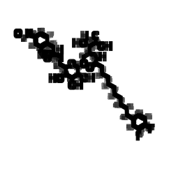 C[C@@H](O)[C@@H](O)[C@H](CO[C@H]1OC(CNC(=O)Cc2ccc([N+](=O)[O-])cc2[N+](=O)[O-])[C@H](O)C(O)C1O)NC(=O)CCCCCCCCCCc1ccc(F)c(F)c1